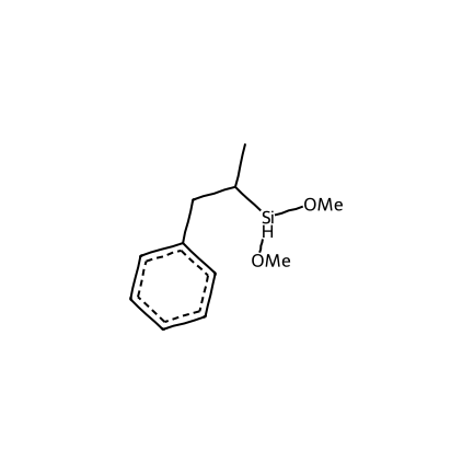 CO[SiH](OC)C(C)Cc1ccccc1